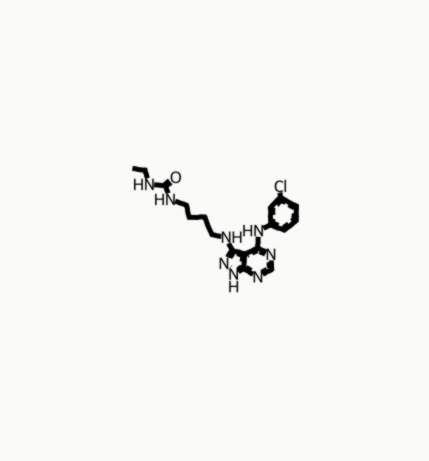 CCNC(=O)NCCCCNc1n[nH]c2ncnc(Nc3cccc(Cl)c3)c12